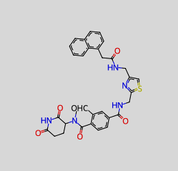 CN(C(=O)c1ccc(C(=O)NCc2nc(CNC(=O)Cc3cccc4ccccc34)cs2)cc1C=O)C1CCC(=O)NC1=O